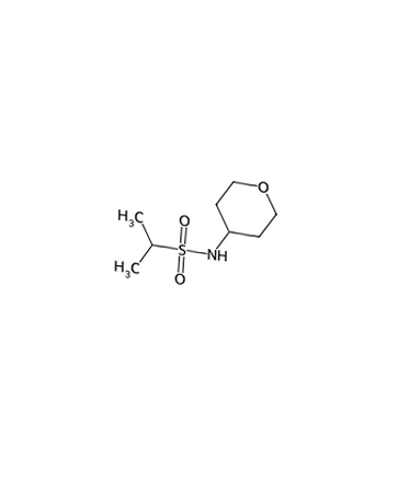 CC(C)S(=O)(=O)NC1CCOCC1